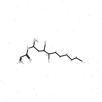 C=CC(=O)OC(C)CC(F)C(F)CCCCCF